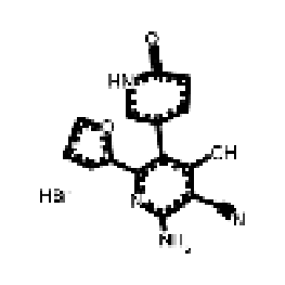 Br.N#Cc1c(N)nc(-c2ccco2)c(-c2ccc(=O)[nH]c2)c1O